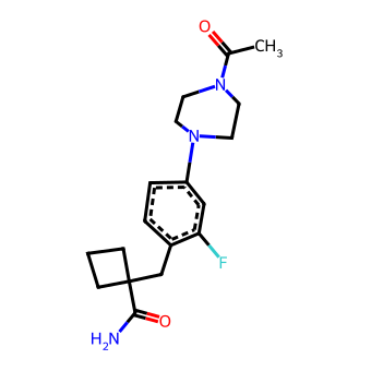 CC(=O)N1CCN(c2ccc(CC3(C(N)=O)CCC3)c(F)c2)CC1